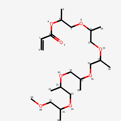 C=CC(=O)OC(C)COC(C)COC(C)COC(C)COC(C)COC(C)COC